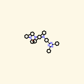 c1ccc(-c2nc(-c3ccccc3)nc(-c3ccc(-n4c5ccccc5c5cc6c(cc54)c4ccccc4n6-c4cccc5c6ccccc6n(-c6ccccc6)c45)cc3)n2)cc1